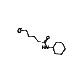 O=C(CCCCCl)NC1CCCCC1